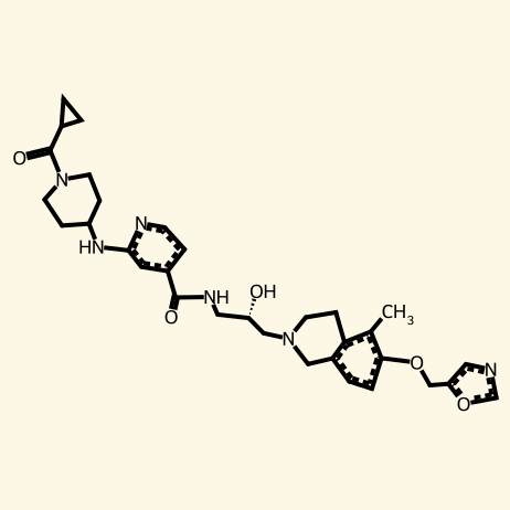 Cc1c(OCc2cnco2)ccc2c1CCN(C[C@@H](O)CNC(=O)c1ccnc(NC3CCN(C(=O)C4CC4)CC3)c1)C2